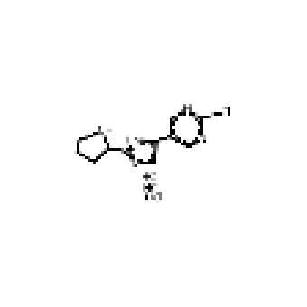 Cl.Cl.Cl.Clc1ncc(-c2cnc(C3CCCN3)[nH]2)cn1